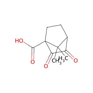 CC1(C)C2CCC1(C(=O)O)C(=O)C2=O